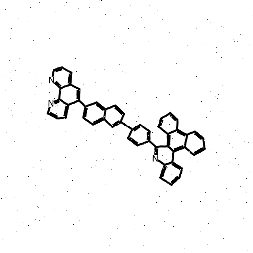 c1cnc2c(c1)cc(-c1ccc3cc(-c4ccc(-c5nc6ccccc6c6c7ccccc7c7ccccc7c56)cc4)ccc3c1)c1cccnc12